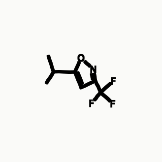 CC(C)c1cc(C(F)(F)F)no1